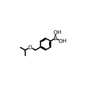 CC(C)OCc1ccc(B(O)O)cc1